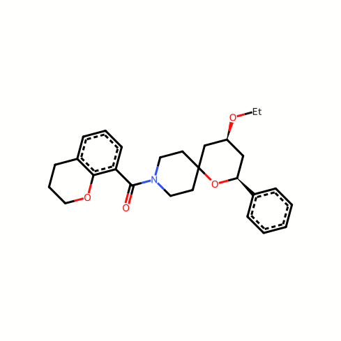 CCO[C@H]1C[C@@H](c2ccccc2)OC2(CCN(C(=O)c3cccc4c3OCCC4)CC2)C1